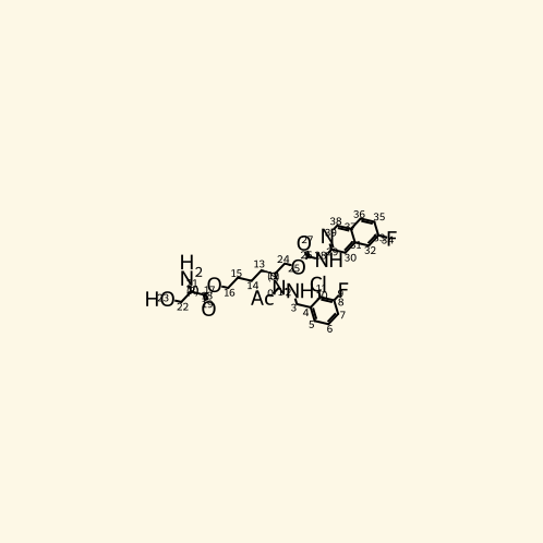 CC(=O)N(NCc1cccc(F)c1Cl)[C@@H](CCCCOC(=O)[C@H](N)CO)COC(=O)Nc1cc2cc(F)ccc2cn1